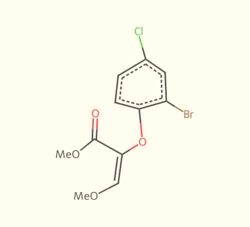 CO/C=C(/Oc1ccc(Cl)cc1Br)C(=O)OC